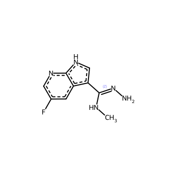 CN/C(=N\N)c1c[nH]c2ncc(F)cc12